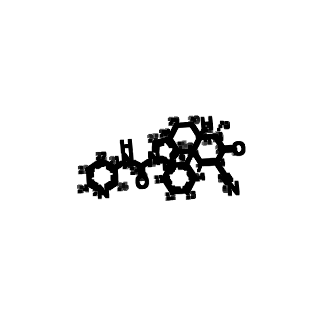 C[C@@H]1C(=O)C(C#N)=C[C@]2(c3ccccc3)c3nn(C(=O)Nc4cccnc4)cc3CC[C@@H]12